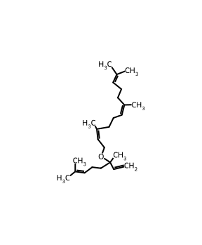 C=CC(C)(CCC=C(C)C)OCC=C(C)CCC=C(C)CCC=C(C)C